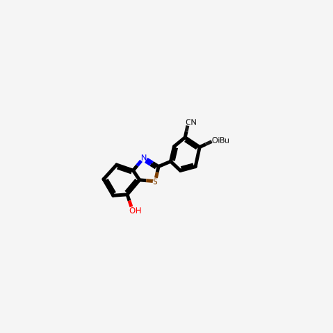 CC(C)COc1ccc(-c2nc3cccc(O)c3s2)cc1C#N